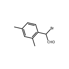 Cc1ccc(C(Br)C=O)c(C)c1